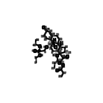 CCOP(=O)(CO[C@H]1C[C@@]2(C)[C@@H](C[C@H](C)[C@]2(OC(=O)CC)C(=O)COC(=O)CC)[C@@H]2CCC3=CC(=O)C=C[C@]3(C)[C@@]12Cl)OCC